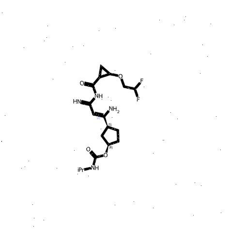 CC(C)NC(=O)O[C@@H]1CC[C@H](/C(N)=C/C(=N)NC(=O)C2CC2OCC(F)F)C1